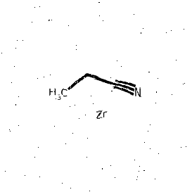 CCC#N.[Zr]